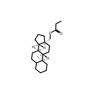 CCC(=O)OC[C@@]12CCC[C@H]1[C@@H]1CCC3CCCC[C@]3(C)[C@H]1CC2